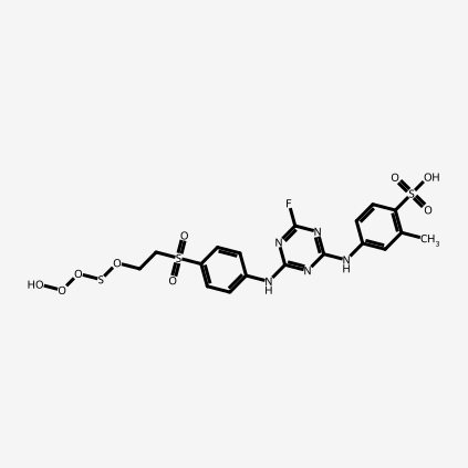 Cc1cc(Nc2nc(F)nc(Nc3ccc(S(=O)(=O)CCOSOOO)cc3)n2)ccc1S(=O)(=O)O